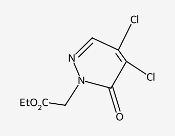 CCOC(=O)Cn1ncc(Cl)c(Cl)c1=O